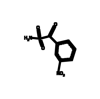 NS(=O)(=O)C(=O)c1cccc([N+](=O)[O-])c1